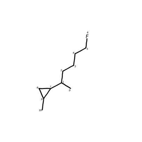 CC(CCCCF)C1CC1C